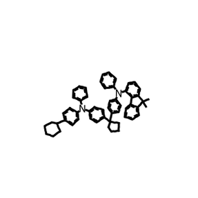 CC1(C)c2ccccc2-c2c(N(c3ccccc3)c3ccc(C4(c5ccc(N(c6ccccc6)c6ccc(C7CCCCC7)cc6)cc5)CCCC4)cc3)cccc21